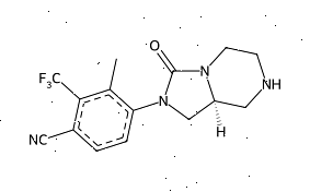 Cc1c(N2C[C@@H]3CNCCN3C2=O)ccc(C#N)c1C(F)(F)F